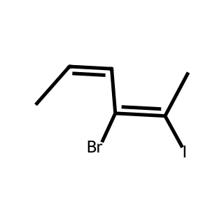 C/C=C\C(Br)=C(/C)I